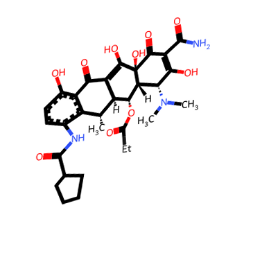 CCC(=O)O[C@@H]1[C@@H]2C(=C(O)[C@]3(O)C(=O)C(C(N)=O)=C(O)[C@H](N(C)C)[C@H]13)C(=O)c1c(O)ccc(NC(=O)C3CCCC3)c1[C@H]2C